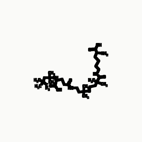 CC(C)(C)CC(C)(C)NC(CCC(=O)NCCC(C)(C)OCCC(C)(C)C(=O)NCCCCC(N)C(=O)O)C(=O)O